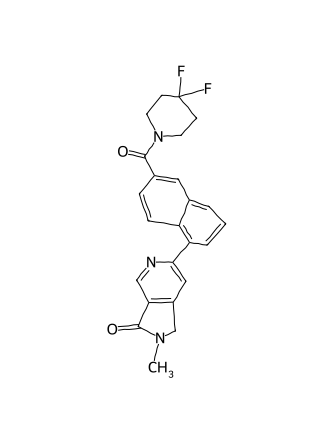 CN1Cc2cc(-c3cccc4cc(C(=O)N5CCC(F)(F)CC5)ccc34)ncc2C1=O